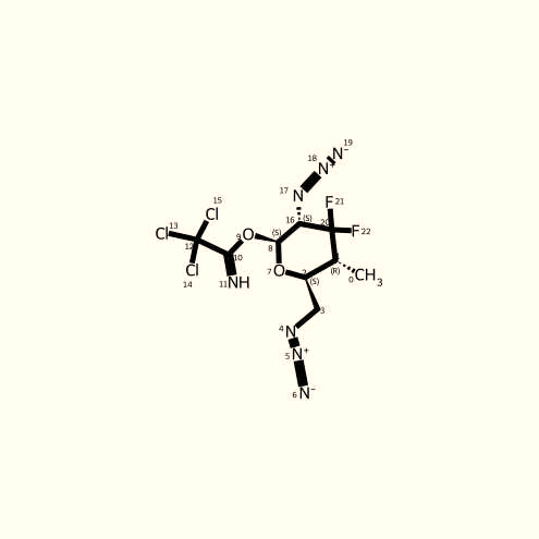 C[C@@H]1[C@@H](CN=[N+]=[N-])O[C@@H](OC(=N)C(Cl)(Cl)Cl)[C@H](N=[N+]=[N-])C1(F)F